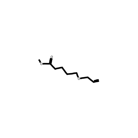 C=CCOCCCCC(=O)OC